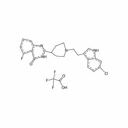 O=C(O)C(F)(F)F.O=c1[nH]c(C2CCN(CCc3c[nH]c4cc(Cl)ccc34)CC2)nc2cccc(F)c12